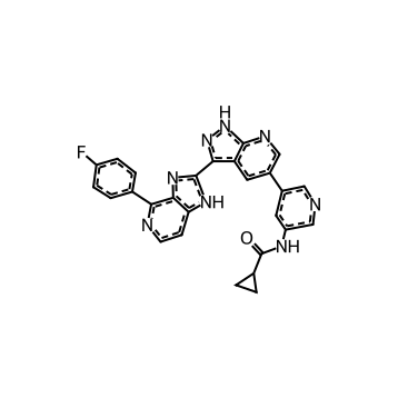 O=C(Nc1cncc(-c2cnc3[nH]nc(-c4nc5c(-c6ccc(F)cc6)nccc5[nH]4)c3c2)c1)C1CC1